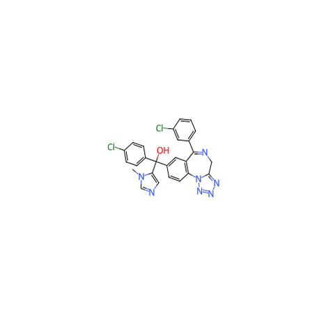 Cn1cncc1C(O)(c1ccc(Cl)cc1)c1ccc2c(c1)C(c1cccc(Cl)c1)=NCc1nnnn1-2